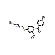 O=Cc1cc(OC/C=C/CBr)ccc1C(=O)c1ccc(Br)cc1